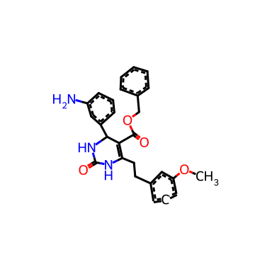 COc1cccc(CCC2=C(C(=O)OCc3ccccc3)C(c3cccc(N)c3)NC(=O)N2)c1